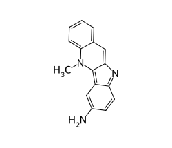 Cn1c2c3cc(N)ccc3nc-2cc2ccccc21